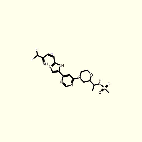 CC(NS(C)(=O)=O)C1CN(c2cc(-c3cnc(/C=C\C(=N)C(F)F)[nH]3)ncn2)CCO1